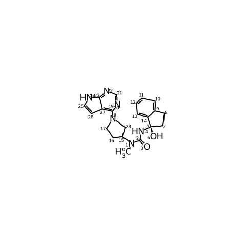 CN(C(=O)N[C@@]1(O)CCc2ccccc21)C1CCN(c2ncnc3[nH]ccc23)C1